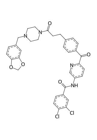 O=C(Nc1ccc(C(=O)c2ccc(CCC(=O)N3CCN(Cc4ccc5c(c4)OCO5)CC3)cc2)nc1)c1ccc(Cl)c(Cl)c1